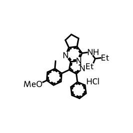 CCC(CC)Nc1c2c(nc3c(-c4ccc(OC)cc4C)c(-c4ccccc4)nn13)CCC2.Cl